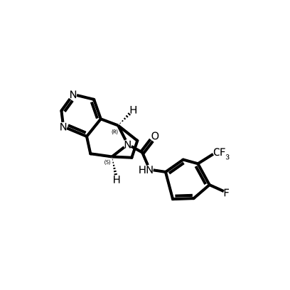 O=C(Nc1ccc(F)c(C(F)(F)F)c1)N1[C@H]2CC[C@@H]1c1cncnc1C2